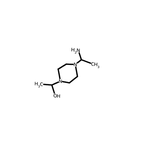 CC(N)N1CCN(C(C)O)CC1